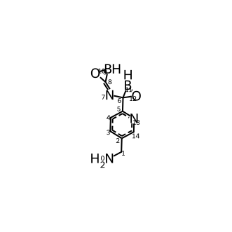 NCc1ccc(C2(/N=C3\BO3)BO2)nc1